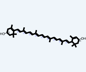 CC1=C[C@H](O)CC(C)(C)C1/C=C/C(C)=C/C=C/C(C)=C/C=C/C=C(C)/C=C/C=C(C)/C=C/C1=C(C)C[C@@H](O)CC1(C)C